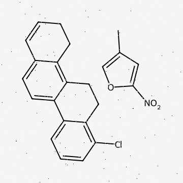 Cc1coc([N+](=O)[O-])c1.Clc1cccc2c1CCc1c-2ccc2c1CCC=C2